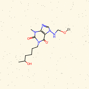 CCOCNn1cnc2c1c(=O)n(CCCCC(C)O)c(=O)n2C